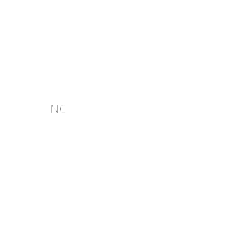 [CH2]c1c(C)cc(C#N)cc1C